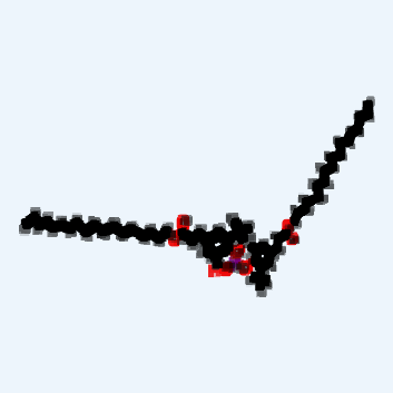 CCCCCCCCCCCCCCCCCCOC(=O)CCc1cc(C)c(OP(O)Oc2c(C)cc(CCC(=O)OCCCCCCCCCCCCCCCCCC)cc2C(C)(C)C)c(C(C)(C)C)c1